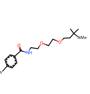 CCCc1ccc(C(=O)NCCOCCOCCC(C)(C)NC)cc1